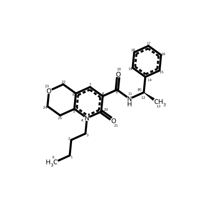 CCCCn1c2c(cc(C(=O)N[C@H](C)c3ccccc3)c1=O)COCC2